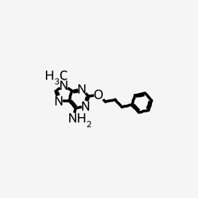 Cn1cnc2c(N)nc(OCCCc3ccccc3)nc21